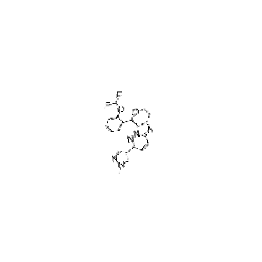 Cn1cc(-c2ccc3nc4c(n3n2)C(c2ccccc2OC(F)F)OCC4)cn1